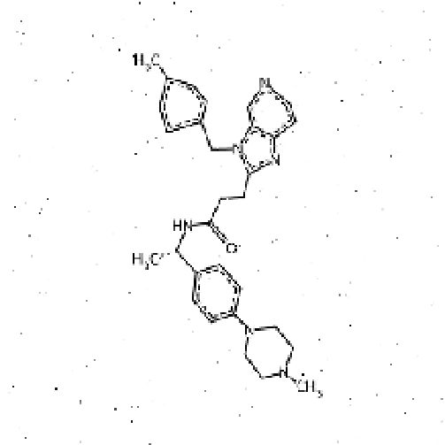 Cc1ccc(Cn2c(CCC(=O)N[C@@H](C)c3ccc(N4CCN(C)CC4)cc3)nc3ccncc32)cc1